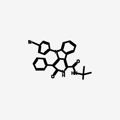 CC(C)(C)NC(=O)c1[nH]c(=O)c(-c2ccccc2)c2c1c1ccccc1n2-c1ccc(Br)cc1